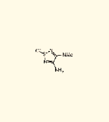 CNc1n[s+]([O-])nc1N